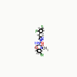 CN1C(=O)[C@@H](NC(=O)n2cc(Cc3ccc(F)cc3F)cn2)COc2ccc(Br)cc21